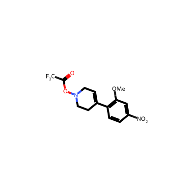 COc1cc([N+](=O)[O-])ccc1C1=CCN(OC(=O)C(F)(F)F)CC1